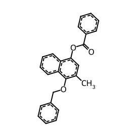 Cc1cc(OC(=O)c2ccccc2)c2ccccc2c1OCc1ccccc1